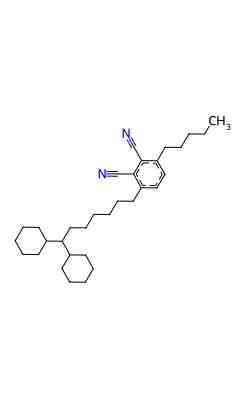 CCCCCc1ccc(CCCCCCC(C2CCCCC2)C2CCCCC2)c(C#N)c1C#N